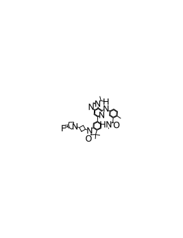 CNC(=O)c1cc(Nc2nc(-c3ccc4c(c3)N([C@H]3C[C@@H](N5CC[C@@H](F)C5)C3)C(=O)C4(C)C)cc3ncn(C(C)C)c23)ccc1C